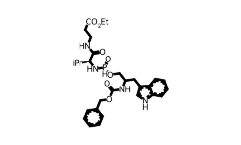 CCOC(=O)CCNC(=O)[C@@H](N[PH](=O)OCC(Cc1c[nH]c2ccccc12)NC(=O)OCc1ccccc1)C(C)C